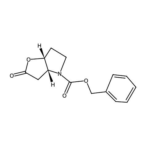 O=C1C[C@@H]2[C@@H](CCN2C(=O)OCc2ccccc2)O1